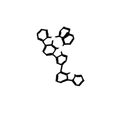 c1ccc(-n2c3ccccc3c3ccc4c5cc(-c6cccc7c6oc6ccccc67)ccc5n(-c5ccccc5)c4c32)cc1